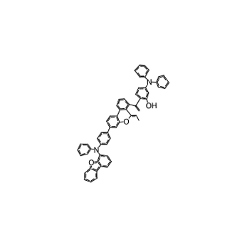 C=C(c1ccc(N(c2ccccc2)c2ccccc2)cc1O)c1cccc2c1C(=CC)Oc1cc(-c3ccc(N(c4ccccc4)c4cccc5c4oc4ccccc45)cc3)ccc1-2